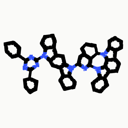 C1=CCC(n2c3ccccc3c3ccc4c5ccccc5n(-c5cccc(-n6c7ccccc7c7cc8c(cc76)c6ccccc6n8-c6nc(-c7ccccc7)nc(-c7ccccc7)n6)n5)c4c32)C=C1